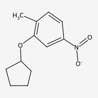 Cc1ccc([N+](=O)[O-])cc1OC1CCCC1